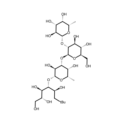 C[C@@H]1O[C@H](O[C@H]2[C@H](O[C@H]3[C@H](O)[C@@H](O[C@@H]([C@H](O)[C@H](O)CO)[C@@H](O)CC(C)(C)C)O[C@@H](C)[C@H]3O)O[C@H](CO)[C@@H](O)[C@@H]2O)[C@@H](O)[C@H](O)[C@@H]1O